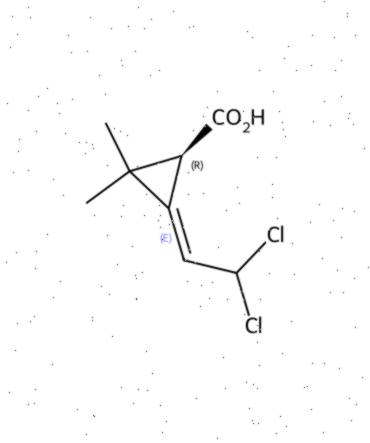 CC1(C)/C(=C/C(Cl)Cl)[C@@H]1C(=O)O